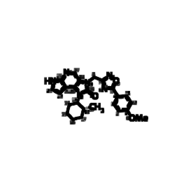 COc1ccc(-c2nc(Cn3c(=O)n([C@H]4CCCC[C@H]4C)c4c5cc[nH]c5ncc43)no2)cc1